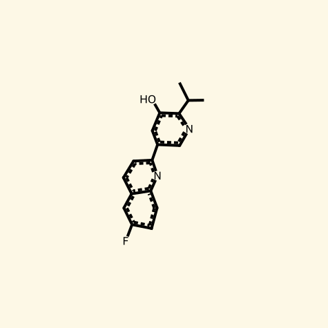 CC(C)c1ncc(-c2ccc3cc(F)ccc3n2)cc1O